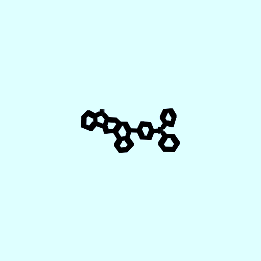 c1ccc(N(c2ccccc2)c2ccc(-c3cc4cc5sc6ccccc6c5cc4c4ccccc34)cc2)cc1